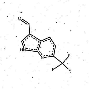 O=Cc1c[nH]c2nc(C(F)(F)F)ccc12